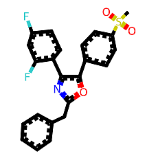 CS(=O)(=O)c1ccc(-c2oc(Cc3ccccc3)nc2-c2ccc(F)cc2F)cc1